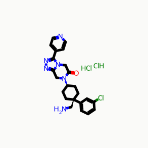 Cl.Cl.NC[C@]1(c2cccc(Cl)c2)CC[C@H](N2Cc3nnc(-c4ccncc4)n3CC2=O)CC1